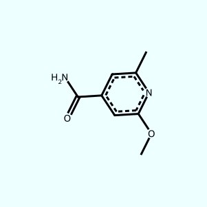 COc1cc(C(N)=O)cc(C)n1